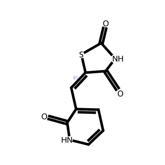 O=C1NC(=O)/C(=C\c2ccc[nH]c2=O)S1